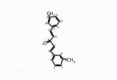 Cc1cccc(C=CC(=O)C=Cc2cccc(C)c2)c1